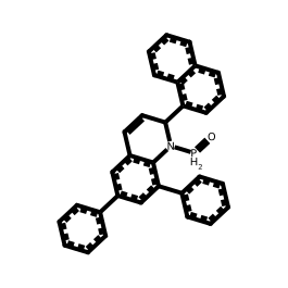 O=[PH2]N1c2c(cc(-c3ccccc3)cc2-c2ccccc2)C=CC1c1cccc2ccccc12